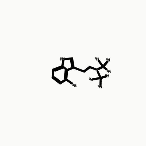 [2H]c1cccc2[nH]cc(CCN(C([2H])([2H])[2H])C([2H])([2H])[2H])c12